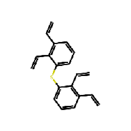 C=Cc1cccc(Sc2cccc(C=C)c2C=C)c1C=C